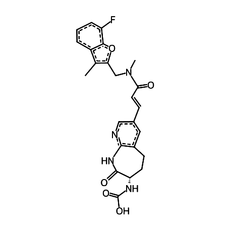 Cc1c(CN(C)C(=O)/C=C/c2cnc3c(c2)CC[C@H](NC(=O)O)C(=O)N3)oc2c(F)cccc12